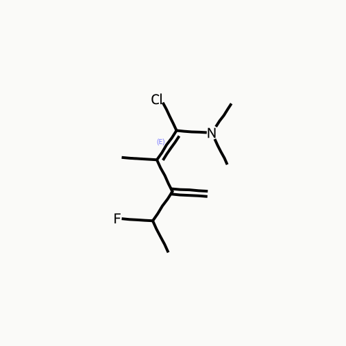 C=C(/C(C)=C(/Cl)N(C)C)C(C)F